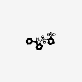 CS(=O)(=O)c1ccccc1OS(=O)(=O)n1nc(-c2ccccc2)c2c[c]ccc21